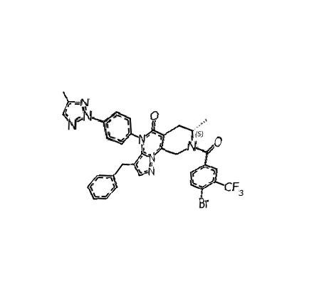 Cc1cnn(-c2ccc(-n3c(=O)c4c(n5ncc(Cc6ccccc6)c35)CN(C(=O)c3ccc(Br)c(C(F)(F)F)c3)[C@@H](C)C4)cc2)n1